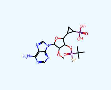 COC1C(OP(=O)(S)C(C)(C)C)C(C2CC2P(=O)(O)O)OC1n1cnc2c(N)ncnc21